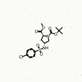 COC(=O)[C@@H]1C[C@@H](NS(=O)(=O)c2ccc(Cl)cc2)CN1C(=O)OC(C)(C)C